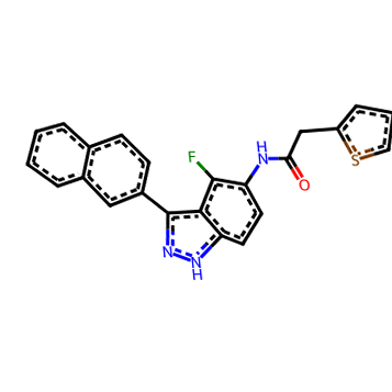 O=C(Cc1cccs1)Nc1ccc2[nH]nc(-c3ccc4ccccc4c3)c2c1F